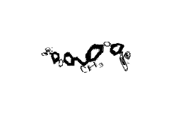 C/C(=C\c1ccc(Oc2ccc([N+](=O)[O-])cc2)cc1)c1ccc(Oc2ccc([N+](=O)[O-])cc2)cc1